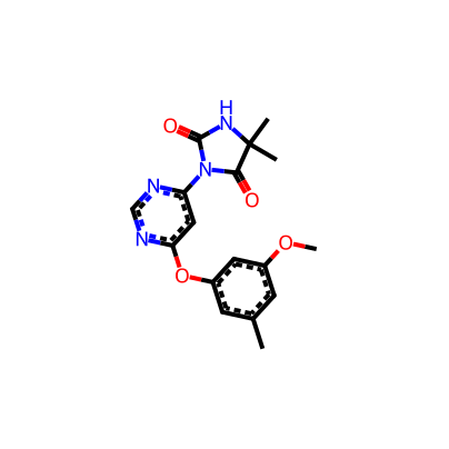 COc1cc(C)cc(Oc2cc(N3C(=O)NC(C)(C)C3=O)ncn2)c1